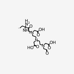 [CH2]CC(N)(N)C(=O)CN(CCN(CCN(CC=O)CC(=O)O)CC(=O)O)CC(=O)O